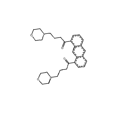 O=C(CCCN1CCOCC1)c1cccc2cc3cccc(C(=O)CCCN4CCOCC4)c3cc12